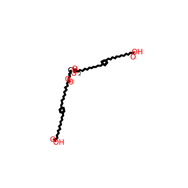 C=C(C=COC(=O)CCCCCCCCCCCc1ccc(CCCCCCCCCCCC(=O)O)cc1)OC(=O)CCCCCCCCCCCc1ccc(CCCCCCCCCCCC(=O)O)cc1